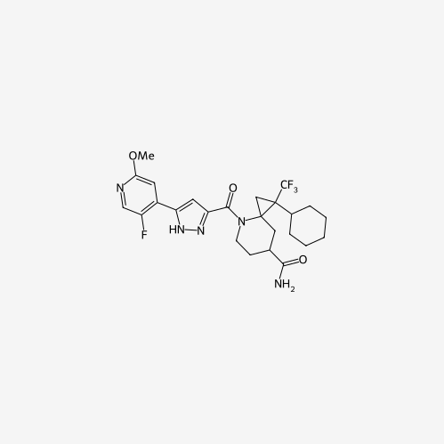 COc1cc(-c2cc(C(=O)N3CCC(C(N)=O)CC34CC4(C3CCCCC3)C(F)(F)F)n[nH]2)c(F)cn1